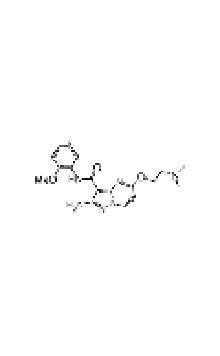 COc1ccncc1NC(=O)c1c(N)nn2ccc(OCCN(C)C)nc12